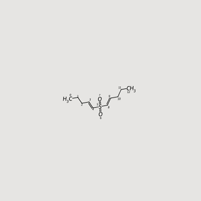 CCCC=CS(=O)(=O)C=CCCC